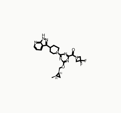 C[C@@H]1C[C@@H]1COc1nc(C(=O)N2CC(F)(F)C2)nc(N2CCC(c3n[nH]c4ncccc34)CC2)n1